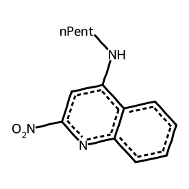 CCCCCNc1cc([N+](=O)[O-])nc2ccccc12